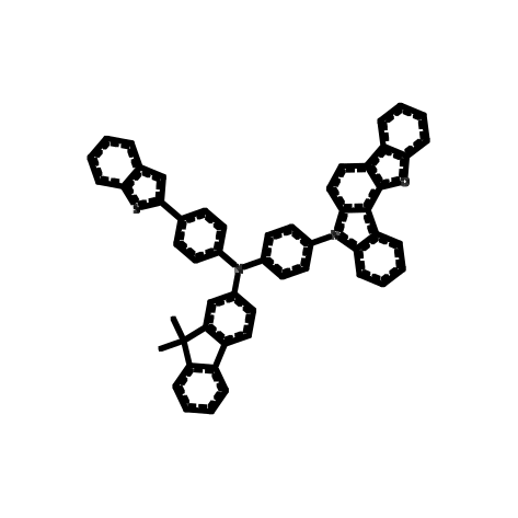 CC1(C)c2ccccc2-c2ccc(N(c3ccc(-c4cc5ccccc5s4)cc3)c3ccc(-n4c5ccccc5c5c6oc7ccccc7c6ccc54)cc3)cc21